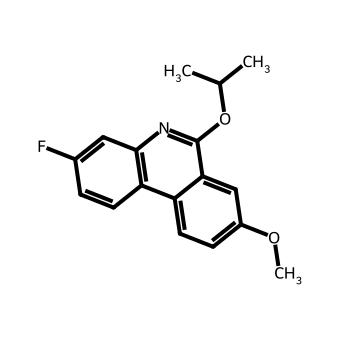 COc1ccc2c(c1)c(OC(C)C)nc1cc(F)ccc12